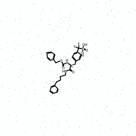 O=C(N[C@@H](Cc1ccc(C(F)(F)P(=O)(O)O)cc1)C(=O)NCCCCc1ccccc1)OCc1ccccc1